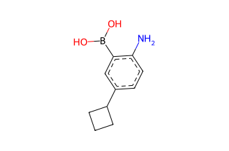 Nc1ccc(C2CCC2)cc1B(O)O